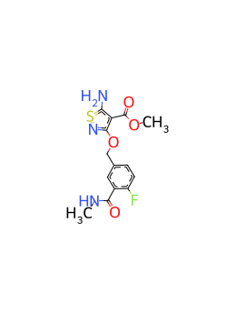 CNC(=O)c1cc(COc2nsc(N)c2C(=O)OC)ccc1F